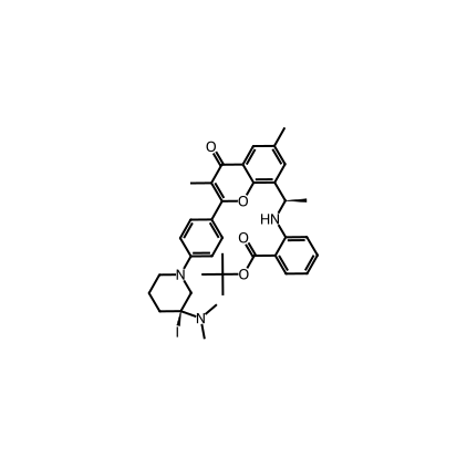 Cc1cc([C@@H](C)Nc2ccccc2C(=O)OC(C)(C)C)c2oc(-c3ccc(N4CCC[C@@](I)(N(C)C)C4)cc3)c(C)c(=O)c2c1